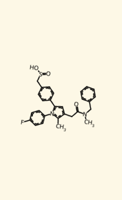 Cc1c(CC(=O)N(C)Cc2ccccc2)cc(-c2ccc(CS(=O)O)cc2)n1-c1ccc(F)cc1